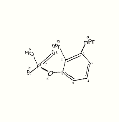 CCCc1cccc(OP(=O)(O)CC)c1CCC